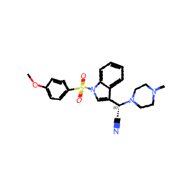 COc1ccc(S(=O)(=O)n2cc([C@@H](C#N)N3CCN(C)CC3)c3ccccc32)cc1